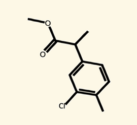 COC(=O)C(C)c1ccc(C)c(Cl)c1